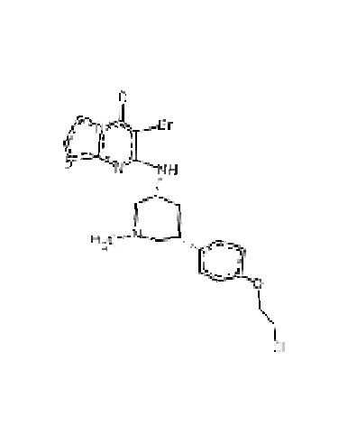 CN1C[C@H](Nc2nc3sccn3c(=O)c2Br)C[C@H](c2ccc(OCCCl)cc2)C1